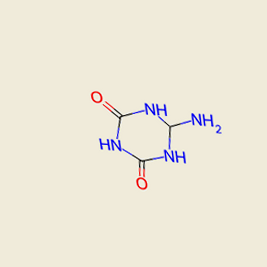 NC1NC(=O)NC(=O)N1